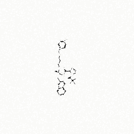 CC(C)(C)C(=O)N1CCCC1C(=O)N[C@H](Cc1ccc2ccccc2c1)C(=O)NCCCNCc1ccc(Cl)cc1.Cl